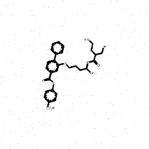 CCCCCCCCC(CCCOc1cc(C(=O)Oc2ccc(C(=O)O)cc2)ccc1-c1ccccc1)OC(=O)C(CO)CCO